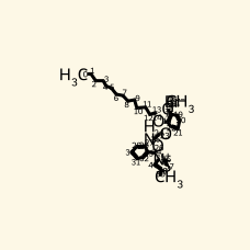 CCCCCCCCCCCCCCOc1c(OC)cccc1OCC(=O)Nc1ccccc1C[n+]1csc(C)c1.[Br-]